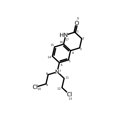 O=C1CCc2cc(N(CCCl)CCCl)ccc2N1